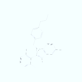 CCCc1ccc(Cn2c(-c3c(C)cccc3C)c(F)c3cc(C)ccc32)cc1